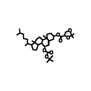 CC(C)CCCC(C)C1CCC2C3C(OC(=O)OC(C)(C)C)C=C4CC(OC(=O)C5COC(C)(C)O5)CCC4(C)C3CCC12C